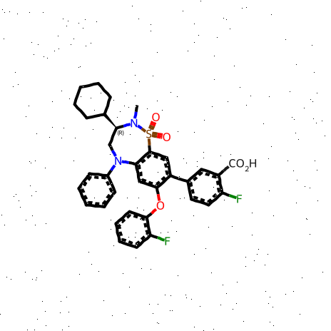 CN1[C@H](C2CCCCC2)CN(c2ccccc2)c2cc(Oc3ccccc3F)c(-c3ccc(F)c(C(=O)O)c3)cc2S1(=O)=O